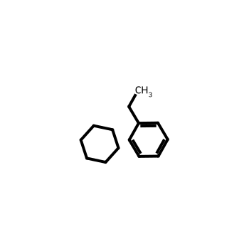 C1CCCCC1.CCc1ccccc1